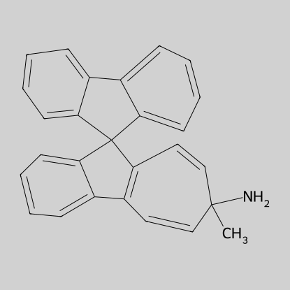 CC1(N)C=CC2=C(C=C1)C1(c3ccccc32)c2ccccc2-c2ccccc21